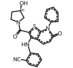 N#Cc1ccccc1Nc1c(C(=O)N2CC[C@@H](O)C2)sc2c1ccc(=O)n2-c1ccccc1